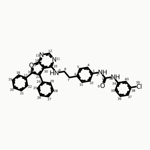 O=C(Nc1ccc(CCNc2ncnc3oc(-c4ccccc4)c(-c4ccccc4)c23)cc1)Nc1cccc(Cl)c1